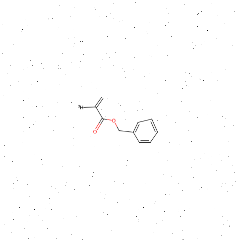 [3H]C(=C)C(=O)OCc1ccccc1